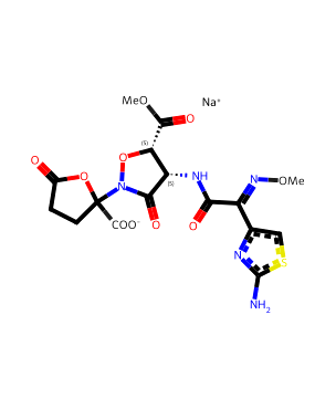 CON=C(C(=O)N[C@@H]1C(=O)N(C2(C(=O)[O-])CCC(=O)O2)O[C@@H]1C(=O)OC)c1csc(N)n1.[Na+]